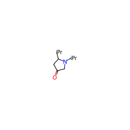 CC(C)C1CC(=O)CN1C(C)C